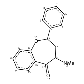 CNC1CC(c2ccccc2)Oc2ccccc2C1=O